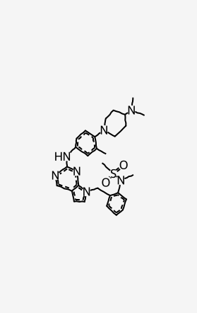 Cc1cc(Nc2ncc3ccn(Cc4ccccc4N(C)S(C)(=O)=O)c3n2)ccc1N1CCC(N(C)C)CC1